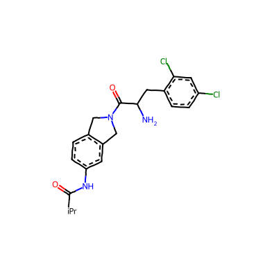 CC(C)C(=O)Nc1ccc2c(c1)CN(C(=O)C(N)Cc1ccc(Cl)cc1Cl)C2